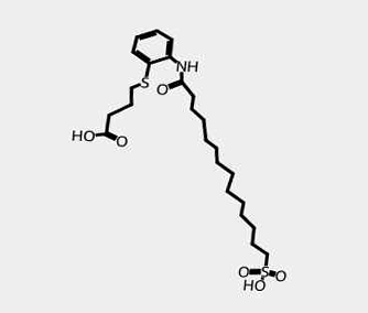 O=C(O)CCCSc1ccccc1NC(=O)CCCCCCCCCCCCCS(=O)(=O)O